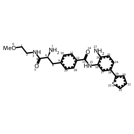 COCCNC(=O)[C@@H](N)Cc1ccc(C(=O)Nc2cc(-c3cccs3)ccc2N)cc1